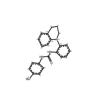 CC(C)(C)c1ccc(NC(=O)Nc2ccccc2N2CCCc3ccccc32)cc1